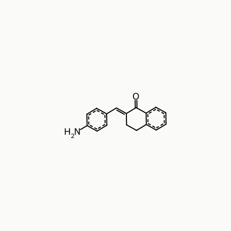 Nc1ccc(/C=C2\CCc3ccccc3C2=O)cc1